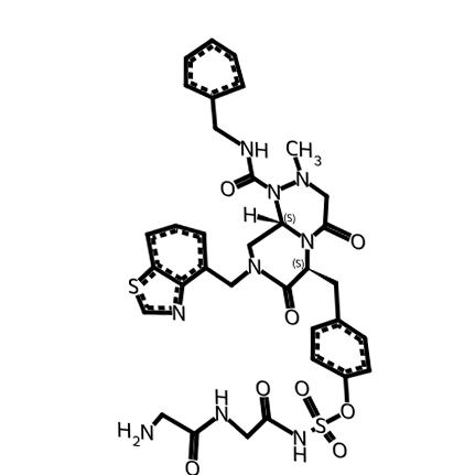 CN1CC(=O)N2[C@@H](Cc3ccc(OS(=O)(=O)NC(=O)CNC(=O)CN)cc3)C(=O)N(Cc3cccc4scnc34)C[C@@H]2N1C(=O)NCc1ccccc1